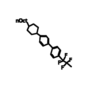 CCCCCCCCC1CCC(c2ccc(-c3ccc(C(F)(F)C(C)(F)F)cc3)cc2)CC1